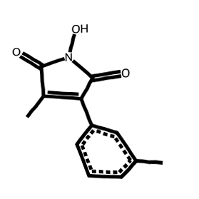 CC1=C(c2cccc(C)c2)C(=O)N(O)C1=O